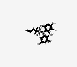 C=CCC(C)(C)S(=O)(=O)Nc1c(F)cc(F)c(F)c1Nc1ccc(I)cc1F